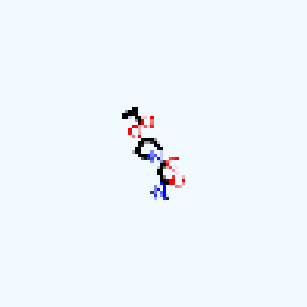 C=C(C)C(=O)OC1CCN(C(=O)CC(=O)N(C)C)CC1